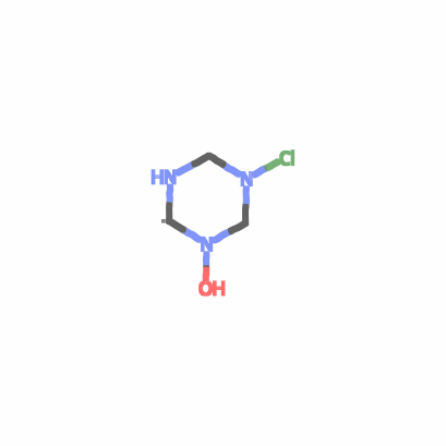 ON1[CH]NCN(Cl)C1